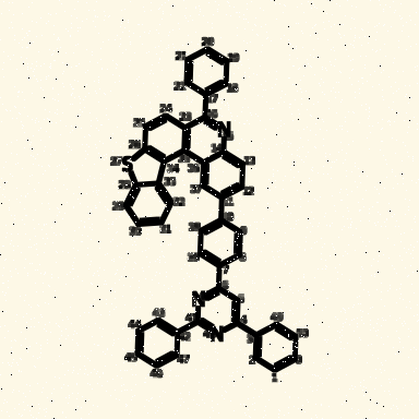 c1ccc(-c2cc(-c3ccc(-c4ccc5nc(-c6ccccc6)c6ccc7sc8ccccc8c7c6c5c4)cc3)nc(-c3ccccc3)n2)cc1